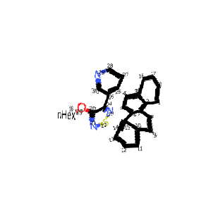 C1=Cc2c(ccc3c2CCc2ccccc2-3)CC1.CCCCCCOc1nsnc1-c1cccnc1